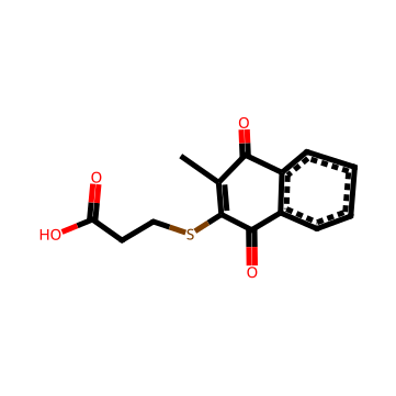 CC1=C(SCCC(=O)O)C(=O)c2ccccc2C1=O